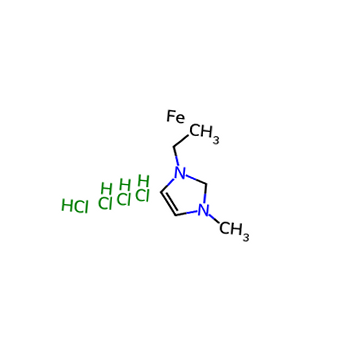 CCN1C=CN(C)C1.Cl.Cl.Cl.Cl.[Fe]